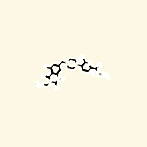 CCn1c(=O)[nH]c2cc(CN3CCN(c4ccc(C(=O)NC)nc4Cl)CC3)cc(F)c2c1=O